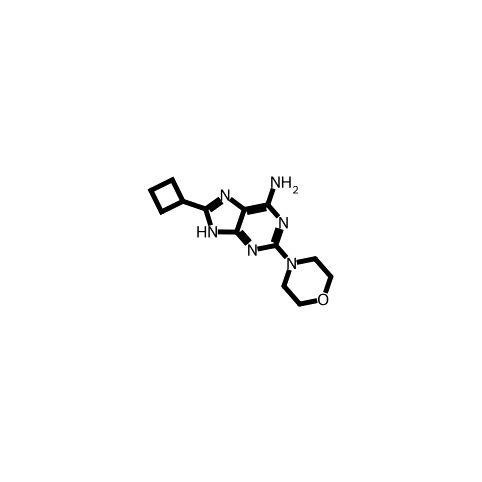 Nc1nc(N2CCOCC2)nc2[nH]c(C3CCC3)nc12